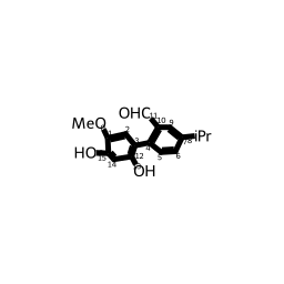 COc1cc(-c2ccc(C(C)C)cc2C=O)c(O)cc1O